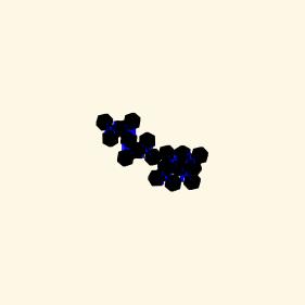 c1ccc(-n2c3ccccc3c3c4c5cc6c(cc5n5c7ccccc7c(cc32)c45)c2c3c4ccccc4n(-c4cccc(-c5cccc7c5c5cc8c9ccccc9n(-c9ccccc9)c8c8c9cc%10c(cc9n7c58)c5c7c(cc8c9ccccc9n%10c85)c5ccccc5n7-c5ccccc5)c4)c3cc3c4ccccc4n6c32)cc1